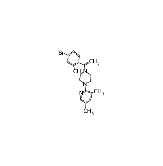 C=C(c1ccc(Br)cc1C)N1CCN(c2ncc(C)cc2C)CC1